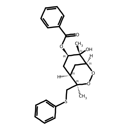 C[C@@]1(O)[C@@H]2C[C@H](C[C@H]1OC(=O)c1ccccc1)[C@](C)(CSc1ccccc1)OO2